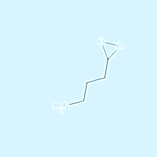 CCCCC1OO1